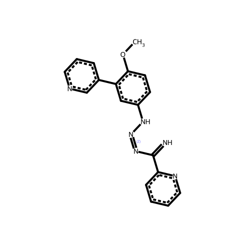 COc1ccc(N/N=N\C(=N)c2ccccn2)cc1-c1cccnc1